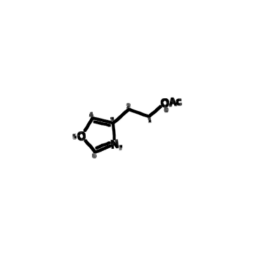 CC(=O)OCCc1cocn1